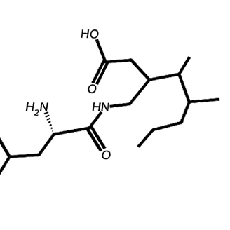 CCCC(C)C(C)C(CNC(=O)[C@@H](N)CC(C)C)CC(=O)O